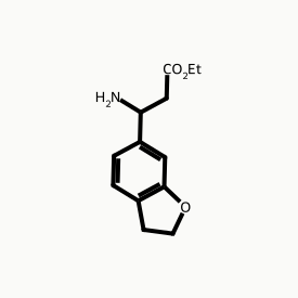 CCOC(=O)CC(N)c1ccc2c(c1)OCC2